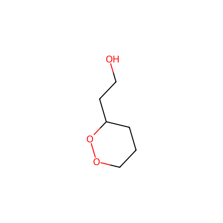 OCCC1CCCOO1